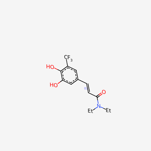 CCN(CC)C(=O)/C=C/c1cc(O)c(O)c(C(F)(F)F)c1